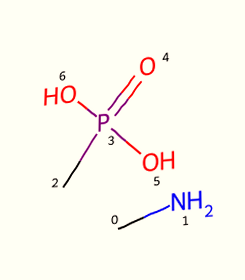 CN.CP(=O)(O)O